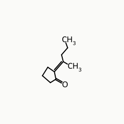 CCCC(C)=C1CCCC1=O